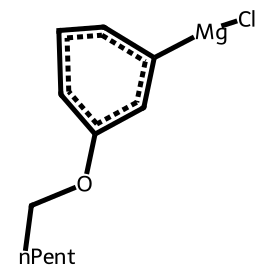 CCCCCCOc1ccc[c]([Mg][Cl])c1